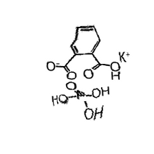 O=C([O-])c1ccccc1C(=O)O.O=P(O)(O)O.[K+]